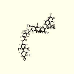 CCc1cc(Nc2ncc(Br)c(Nc3ccc4nc(C)ccc4c3P(C)(C)=O)n2)c(OC)cc1N1CCC2(CCN(CCc3cc(F)c(C4CCC(=O)NC4=O)c(F)c3)C2)C1